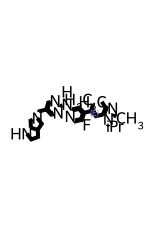 C=C/C(=C\c1c(C)nc(C)n1C(C)C)c1cc(Nc2ncc(CN3CC4CCNC4C3)cn2)ncc1F